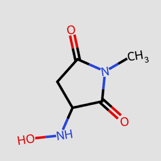 CN1C(=O)CC(NO)C1=O